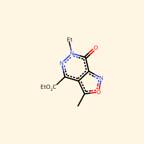 CCOC(=O)c1nn(CC)c(=O)c2noc(C)c12